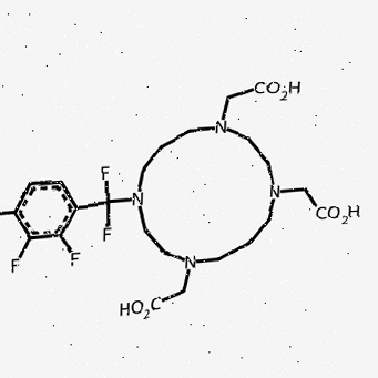 O=C(O)CN1CCCN(CC(=O)O)CCN(C(F)(F)c2ccc(F)c(F)c2F)CCCN(CC(=O)O)CC1